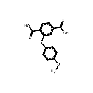 COc1ccc(Sc2cc(C(=O)O)ccc2C(=O)O)cc1